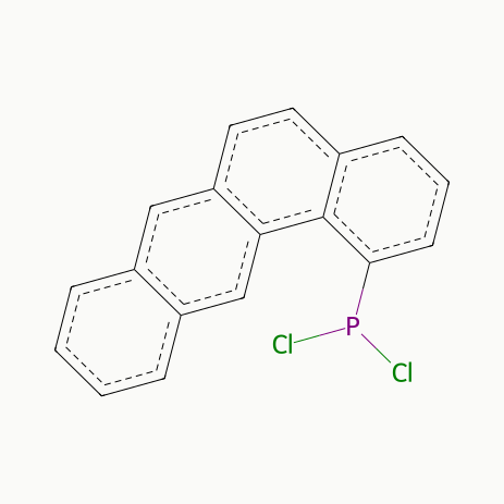 ClP(Cl)c1cccc2ccc3cc4ccccc4cc3c12